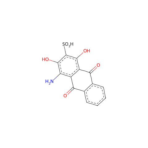 Nc1c(O)c(S(=O)(=O)O)c(O)c2c1C(=O)c1ccccc1C2=O